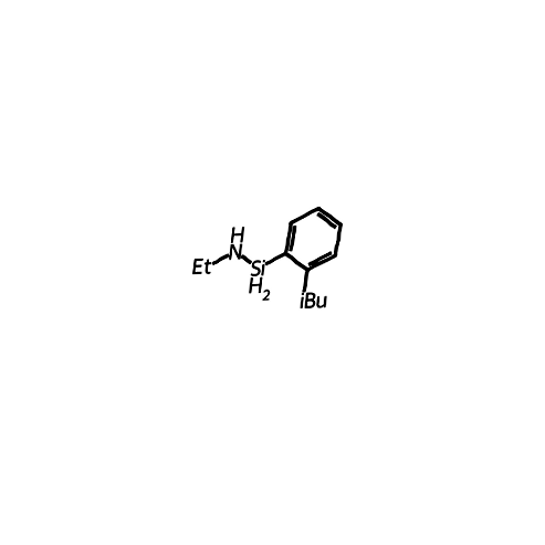 CCN[SiH2]c1ccccc1C(C)CC